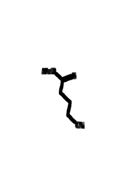 COC(=S)CCCC#N